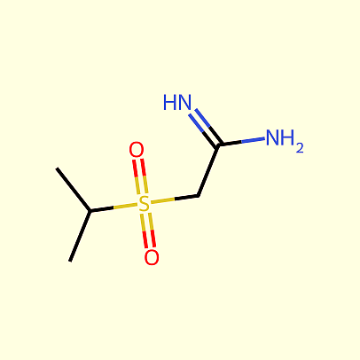 CC(C)S(=O)(=O)CC(=N)N